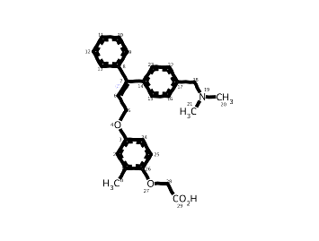 Cc1cc(OC/C=C(/c2ccccc2)c2ccc(CN(C)C)cc2)ccc1OCC(=O)O